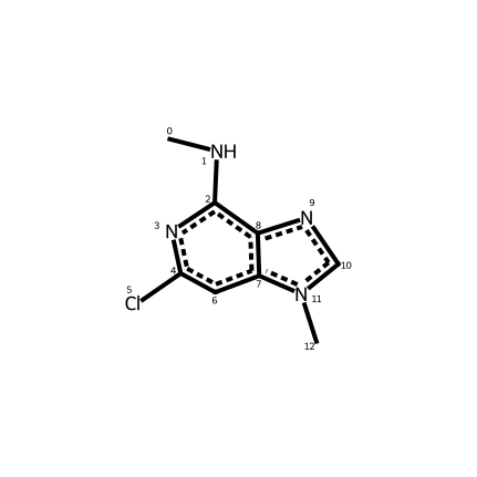 CNc1nc(Cl)cc2c1ncn2C